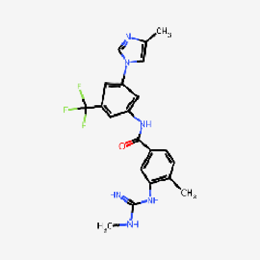 CNC(=N)Nc1cc(C(=O)Nc2cc(-n3cnc(C)c3)cc(C(F)(F)F)c2)ccc1C